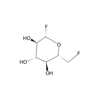 O[C@@H]1[C@@H](O)[C@H](F)O[C@H](CF)[C@H]1O